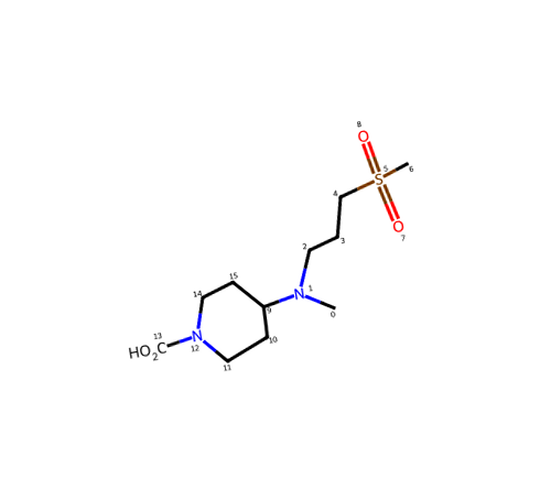 CN(CCCS(C)(=O)=O)C1CCN(C(=O)O)CC1